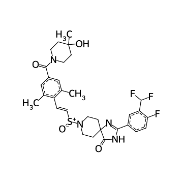 Cc1cc(C(=O)N2CCC(C)(O)CC2)cc(C)c1/C=C/[S+]([O-])N1CCC2(CC1)N=C(c1ccc(F)c(C(F)F)c1)NC2=O